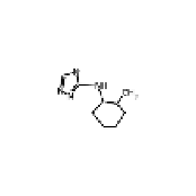 CC1CCCCC1NC1=NN=C[N]1